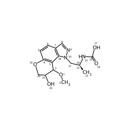 COC1c2c(ccc3cnn(C[C@H](C)NC(=O)O)c23)OCC1O